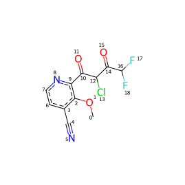 COc1c(C#N)ccnc1C(=O)C(Cl)C(=O)C(F)F